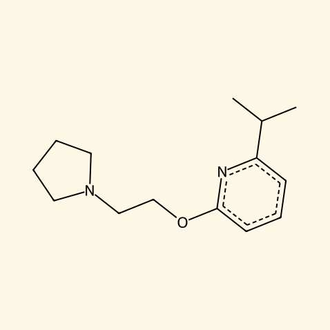 CC(C)c1cccc(OCCN2CCCC2)n1